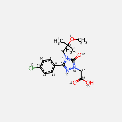 COC(C)(C)Cn1c(-c2ccc(Cl)cc2)nn(CC(=O)O)c1=O